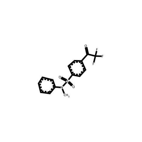 CN(c1ccccc1)S(=O)(=O)c1ccc(C(=O)C(F)(F)F)cc1